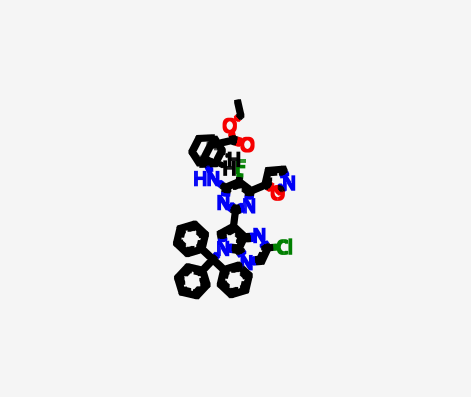 CCOC(=O)[C@@H]1C2CCC(CC2)[C@H]1Nc1nc(-c2cn(C(c3ccccc3)(c3ccccc3)c3ccccc3)c3ncc(Cl)nc23)nc(-c2ccno2)c1F